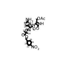 CC(=O)OCC1NC(=O)C1NC(=O)C(=NOC(C)(C)C(=O)OCc1ccc([N+](=O)[O-])cc1)c1csc(N)n1